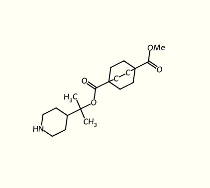 COC(=O)C12CCC(C(=O)OC(C)(C)C3CCNCC3)(CC1)CC2